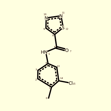 Cc1ccc(NC(=O)c2cnns2)cc1Cl